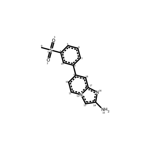 CS(=O)(=O)c1cccc(-c2ccn3cc(N)nc3c2)c1